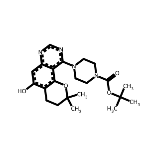 CC(C)(C)OC(=O)N1CCN(c2ncnc3cc(O)c4c(c23)OC(C)(C)CC4)CC1